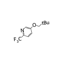 CC(C)(C)COc1ccc(C(F)(F)F)nc1